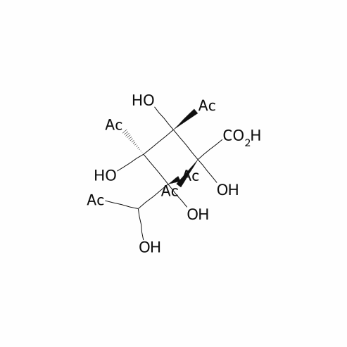 CC(=O)C(O)[C@](O)(C(C)=O)[C@](O)(C(C)=O)[C@@](O)(C(C)=O)[C@](O)(C(C)=O)C(=O)O